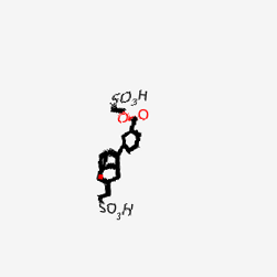 O=C(OCCS(=O)(=O)O)C1CCCC(C2C3CC4CC2CC(CCS(=O)(=O)O)(C4)C3)C1